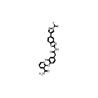 NC(=O)c1cccnc1Oc1ccc(CC(=O)Nc2nc3cc(-c4cnn(C(F)F)c4)ccc3s2)cc1F